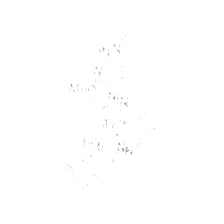 COc1nc2nn(C)cc2cc1-n1nc(-c2cccc3nn(C[C@H](O)c4ccccc4)cc23)c(C(C)C)c1C